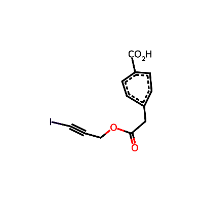 O=C(Cc1ccc(C(=O)O)cc1)OCC#CI